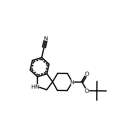 CC(C)(C)OC(=O)N1CCC2(CC1)CNc1ccc(C#N)cc12